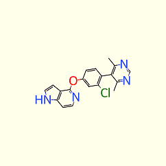 Cc1ncnc(C)c1-c1ccc(Oc2nccc3[nH]ccc23)cc1Cl